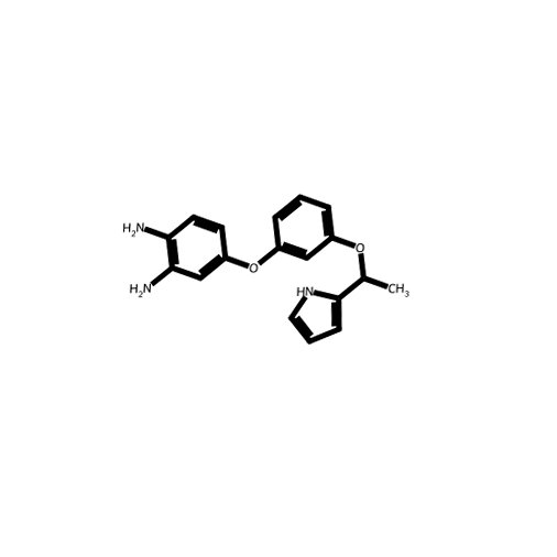 CC(Oc1cccc(Oc2ccc(N)c(N)c2)c1)c1ccc[nH]1